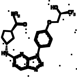 NC(=O)[C@@H]1CC[C@@H](Nc2ncc3nnn(-c4ccc(OC[C@@H](O)C(F)(F)F)cc4)c3n2)C1